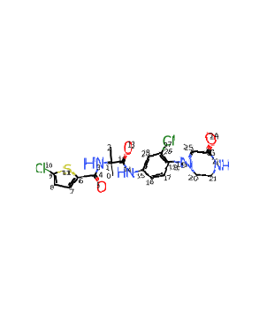 CC(C)(NC(=O)c1ccc(Cl)s1)C(=O)Nc1ccc(N2CCNC(=O)C2)c(Cl)c1